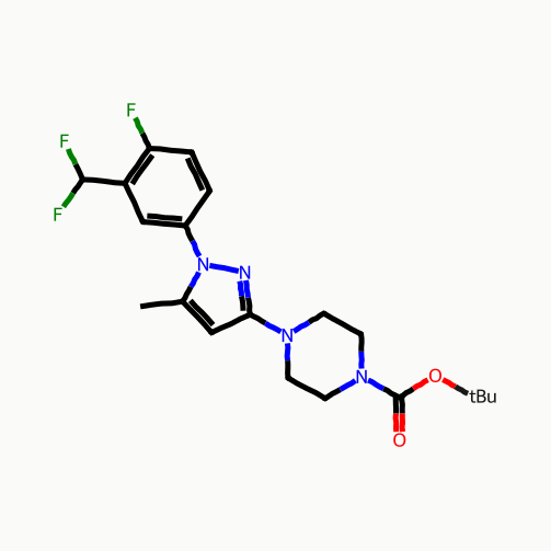 Cc1cc(N2CCN(C(=O)OC(C)(C)C)CC2)nn1-c1ccc(F)c(C(F)F)c1